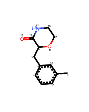 Cc1cccc(CC2OCCNC2=O)c1